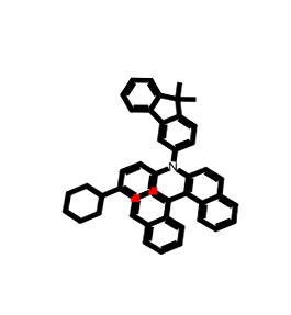 CC1(C)c2ccccc2-c2cc(N(c3ccc(C4CCCCC4)cc3)c3ccc4ccccc4c3-c3cccc4ccccc34)ccc21